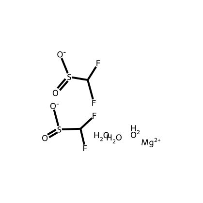 O.O.O.O=S([O-])C(F)F.O=S([O-])C(F)F.[Mg+2]